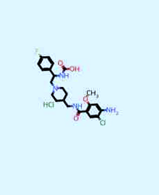 COc1cc(N)c(Cl)cc1C(=O)NCC1CCN(CC(NC(=O)O)c2ccc(F)cc2)CC1.Cl